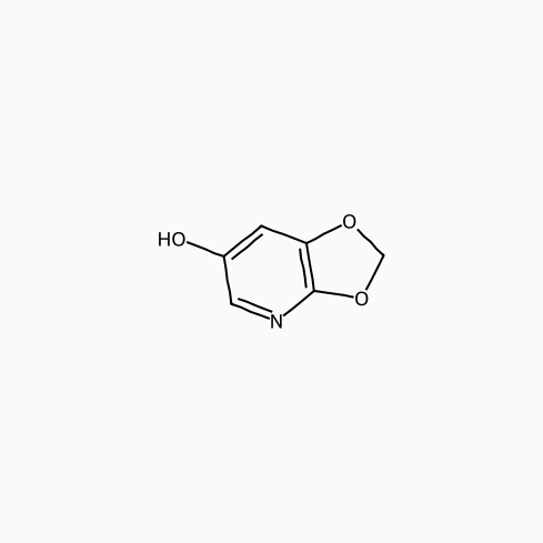 Oc1cnc2c(c1)OCO2